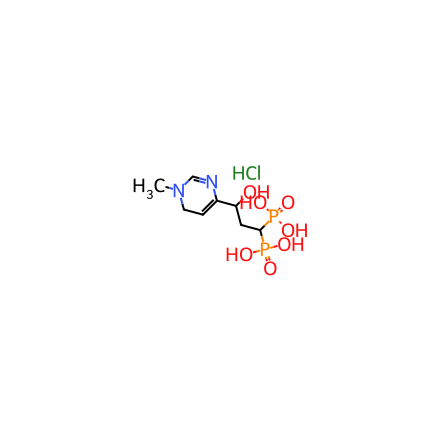 CN1C=NC(C(O)CC(P(=O)(O)O)P(=O)(O)O)=CC1.Cl